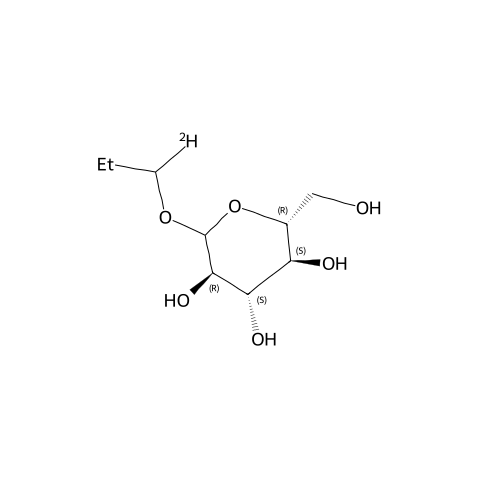 [2H]C(CC)OC1O[C@H](CO)[C@@H](O)[C@H](O)[C@H]1O